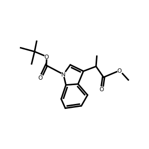 COC(=O)C(C)c1cn(C(=O)OC(C)(C)C)c2ccccc12